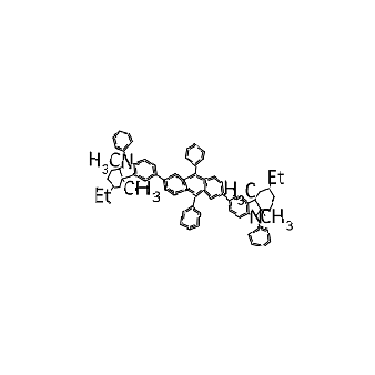 CCC1CCC2(C)N(c3ccccc3)c3ccc(-c4ccc5c(-c6ccccc6)c6cc(-c7ccc8c(c7)C7(C)CC(CC)CCC7(C)N8c7ccccc7)ccc6c(-c6ccccc6)c5c4)cc3C2(C)C1